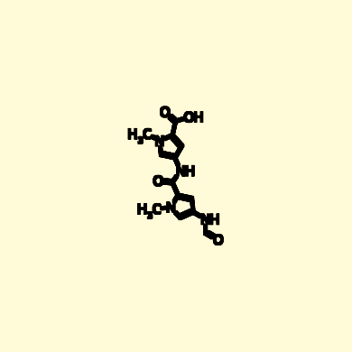 Cn1cc(NC(=O)c2cc(NC=O)cn2C)cc1C(=O)O